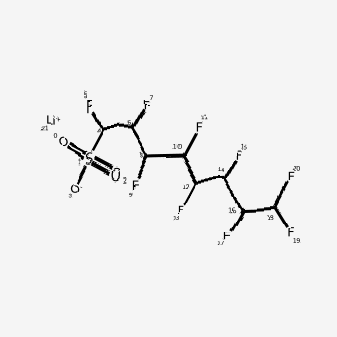 O=S(=O)([O-])C(F)C(F)C(F)C(F)C(F)C(F)C(F)C(F)F.[Li+]